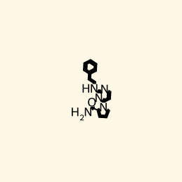 NC(=O)[C@@H]1CCCN1c1ccnc(NCCc2ccccc2)n1